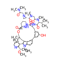 CCn1c(-c2cccnc2[C@H](C)OC)c2c3cc(ccc31)-c1cc(O)cc(c1)C[C@H](NC(=O)C(C(C)C)N(C)C(=O)CN(C)C(=O)[C@@H]1CN1CC(=O)N(C)C)C(=O)N1CCC[C@H](N1)C(=O)OCC(C)(C)C2